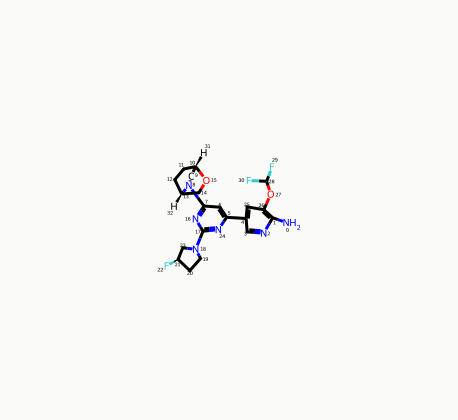 Nc1ncc(-c2cc(N3C[C@@H]4CC[C@H]3CO4)nc(N3CC[C@@H](F)C3)n2)cc1OC(F)F